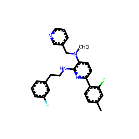 Cc1ccc(-c2ccc(N(C=O)Cc3cccnc3)c(NCCc3cccc(F)c3)n2)c(Cl)c1